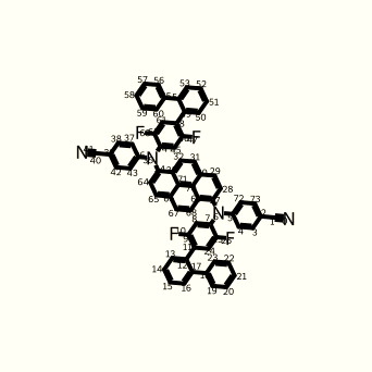 N#Cc1ccc(N(c2cc(F)c(-c3ccccc3-c3ccccc3)cc2F)c2ccc3ccc4c(N(c5ccc(C#N)cc5)c5cc(F)c(-c6ccccc6-c6ccccc6)cc5F)ccc5ccc2c3c54)cc1